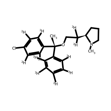 [2H]c1c([2H])c([2H])c([C@@](C)(OCC([2H])([2H])[C@H]2CCCN2C)c2c([2H])c([2H])c(Cl)c([2H])c2[2H])c([2H])c1[2H]